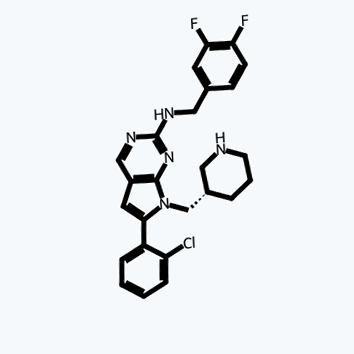 Fc1ccc(CNc2ncc3cc(-c4ccccc4Cl)n(C[C@H]4CCCNC4)c3n2)cc1F